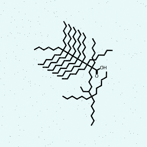 CCCCCCC(CCCCCC)(CCCCCC)C(CC)CCCCC(CCCCCC)(C(=O)O)C(CCCCCC)(CCCCCC)C(CCCCCC)(CCCCCC)C(CCCCCC)(CCCCCC)C(CCCCCC)(CCCCCC)C(CCCCCC)(CCCCCC)C(CCCCCC)(CCCCCC)CCCCCC